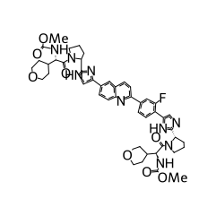 COC(=O)N[C@H](C(=O)N1CCCC1c1nc(-c2ccc3nc(-c4ccc(-c5cnc([C@@H]6CCCN6C(=O)[C@@H](NC(=O)OC)C6CCOCC6)[nH]5)c(F)c4)ccc3c2)c[nH]1)C1CCOCC1